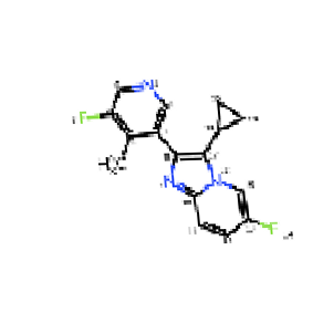 Cc1c(F)cncc1-c1nc2ccc(F)cn2c1C1CC1